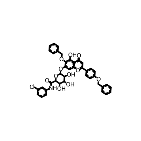 O=C(Nc1cccc(Cl)c1)C1OC(Oc2cc3oc(-c4ccc(OCc5ccccc5)cc4)cc(=O)c3c(O)c2OCc2ccccc2)C(O)C(O)C1O